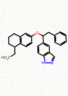 O=C(O)CC1CCCc2cc(OC(Cc3ccccc3)c3ccc4[nH]ncc4c3)ccc21